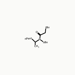 CCCCCC(C)N(CCCC)C(=O)CC(C)(C)C